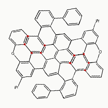 CC(C)c1cc2c3c(c1)-c1cc(-c4c(-c5ccccc5)cccc4-c4ccccc4)c4cc5c6c(cc(-c7c(-c8ccccc8)cccc7-c7ccccc7)c7cc(c1c4c76)B3c1ccccc1O2)-c1cc(C(C)C)cc2c1B5c1ccccc1O2